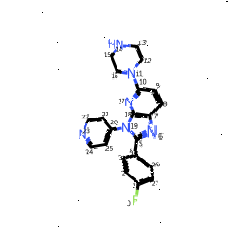 Fc1ccc(-c2nc3ccc(N4CCNCC4)nc3n2-c2ccncc2)cc1